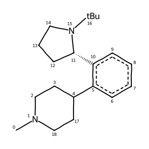 CN1CCC(c2ccccc2[C@@H]2CCCN2C(C)(C)C)CC1